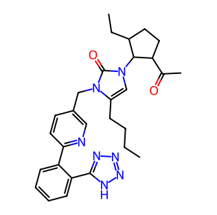 CCCCc1cn(C2C(CC)CCC2C(C)=O)c(=O)n1Cc1ccc(-c2ccccc2-c2nnn[nH]2)nc1